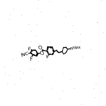 CCCCCCC1CCC(CCc2ccc(C(=O)Oc3cc(F)c(C#N)c(F)c3)c(F)c2)CC1